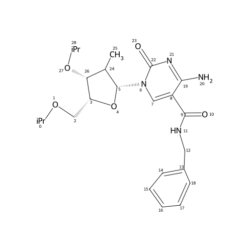 CC(C)OC[C@H]1O[C@@H](n2cc(C(=O)NCc3ccccc3)c(N)nc2=O)C(C)[C@H]1OC(C)C